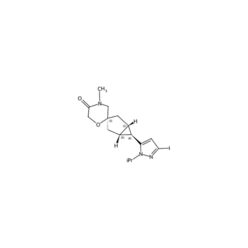 CC(C)n1nc(I)cc1[C@H]1[C@@H]2C[C@@]3(C[C@@H]21)CN(C)C(=O)CO3